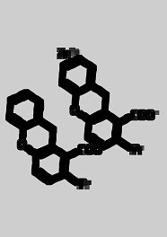 CC(C)c1ccc2c(c1C(=O)[O-])Cc1ccccc1O2.CC(C)c1ccc2c(c1C(=O)[O-])Cc1ccccc1O2.[Zn+2]